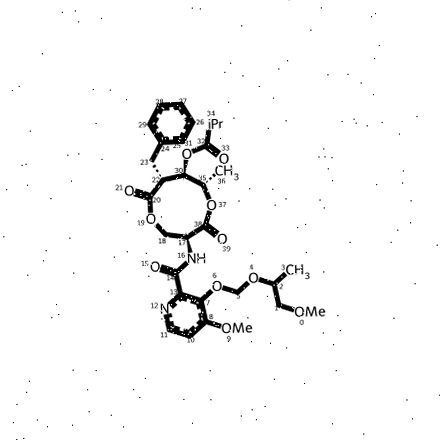 COCC(C)OCOc1c(OC)ccnc1C(=O)N[C@H]1COC(=O)[C@H](Cc2ccccc2)[C@@H](OC(=O)C(C)C)[C@H](C)OC1=O